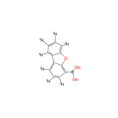 [2H]c1c([2H])c([2H])c2c(oc3c(B(O)O)c([2H])c([2H])c([2H])c32)c1[2H]